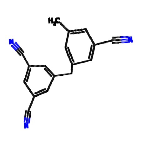 Cc1cc(C#N)cc(Cc2cc(C#N)cc(C#N)c2)c1